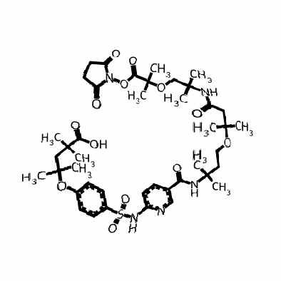 CC(C)(COC(C)(C)C(=O)ON1C(=O)CCC1=O)NC(=O)CC(C)(C)OCCC(C)(C)NC(=O)c1ccc(NS(=O)(=O)c2ccc(OC(C)(C)CC(C)(C)C(=O)O)cc2)nc1